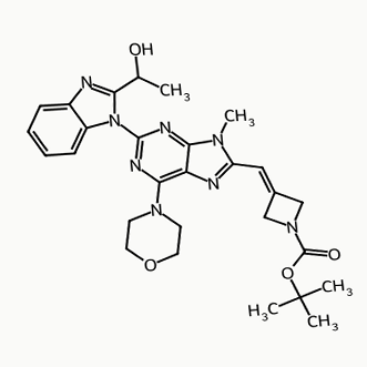 CC(O)c1nc2ccccc2n1-c1nc(N2CCOCC2)c2nc(C=C3CN(C(=O)OC(C)(C)C)C3)n(C)c2n1